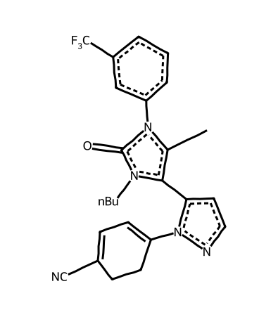 CCCCn1c(-c2ccnn2C2=CC=C(C#N)CC2)c(C)n(-c2cccc(C(F)(F)F)c2)c1=O